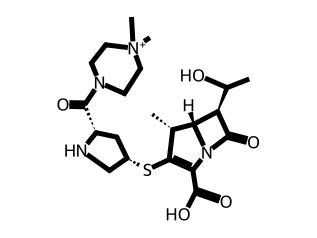 CC(O)[C@H]1C(=O)N2C(C(=O)O)=C(S[C@@H]3CN[C@H](C(=O)N4CC[N+](C)(C)CC4)C3)[C@H](C)[C@H]12